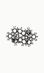 Brc1cc2ccccc2c(-c2c(O[Si](c3ccccc3)(c3ccccc3)c3ccccc3)c(Br)cc3ccccc23)c1O[Si](c1ccccc1)(c1ccccc1)c1ccccc1